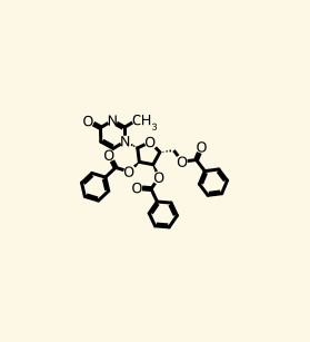 Cc1nc(=O)ccn1[C@@H]1O[C@H](COC(=O)c2ccccc2)[C@@H](OC(=O)c2ccccc2)[C@H]1OC(=O)c1ccccc1